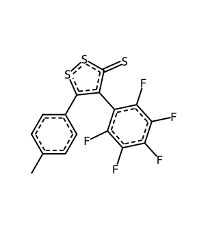 Cc1ccc(-c2ssc(=S)c2-c2c(F)c(F)c(F)c(F)c2F)cc1